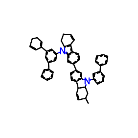 CC1C=CC2c3ccc(-c4ccc5c6c(n(-c7cc(C8=CCCC=C8)cc(-c8ccccc8)c7)c5c4)CCC=C6)cc3N(c3cccc(-c4ccccc4)c3)C2C1